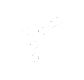 Clc1ccc(N(c2ccc(-c3ccccc3)cc2)c2ccc(-n3nc4ccccc4n3)cc2)cc1